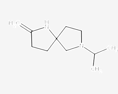 C=C1CCC2(CCN(C(C)C)C2)N1